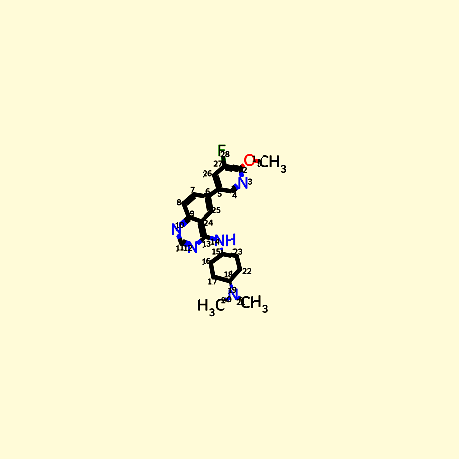 COc1ncc(-c2ccc3ncnc(N[C@H]4CC[C@H](N(C)C)CC4)c3c2)cc1F